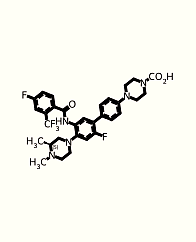 C[C@H]1CN(c2cc(F)c(-c3ccc(N4CCN(C(=O)O)CC4)cc3)cc2NC(=O)c2ccc(F)cc2C(F)(F)F)CCN1C